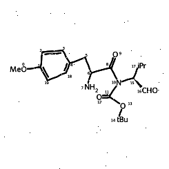 COc1ccc(CC(N)C(=O)N(C(=O)OC(C)(C)C)[C@H]([C]=O)C(C)C)cc1